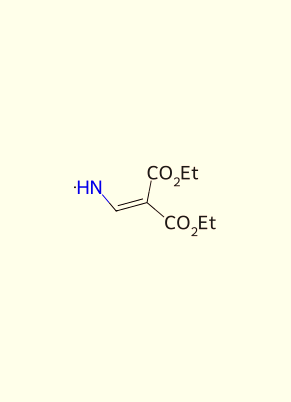 CCOC(=O)C(=C[NH])C(=O)OCC